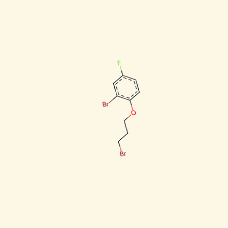 Fc1ccc(OCCCBr)c(Br)c1